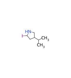 CC(C)C1CNC(I)C1